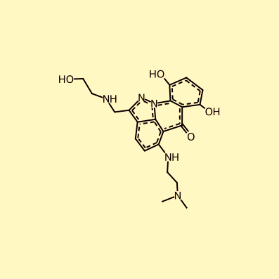 CN(C)CCNc1ccc2c(CNCCO)nn3c4c(O)ccc(O)c4c(=O)c1c23